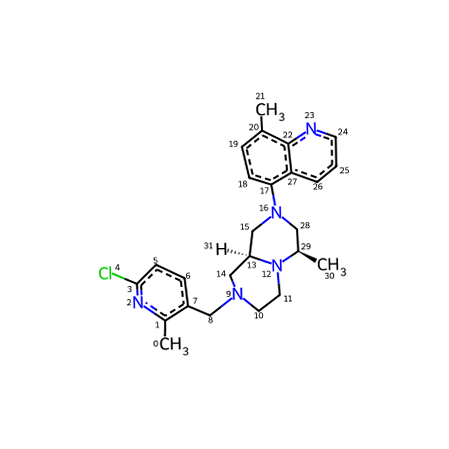 Cc1nc(Cl)ccc1CN1CCN2[C@@H](C1)CN(c1ccc(C)c3ncccc13)C[C@H]2C